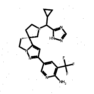 Nc1ncc(-c2cc3n(n2)CC[C@@]32CCN(C(c3ncn[nH]3)C3CC3)C2)cc1C(F)(F)F